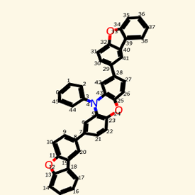 c1ccc(N2c3cc(-c4ccc5oc6ccccc6c5c4)ccc3Oc3ccc(-c4ccc5oc6ccccc6c5c4)cc32)cc1